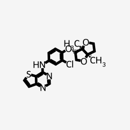 C[C@@]12CCO[C@]1(C)[C@@H](Oc1ccc(Nc3ncnc4ccsc34)cc1Cl)CO2